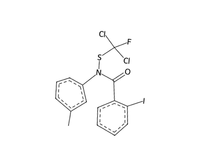 Cc1cccc(N(SC(F)(Cl)Cl)C(=O)c2ccccc2I)c1